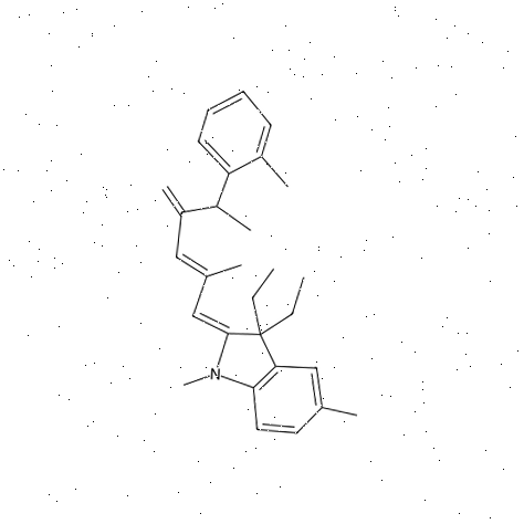 C=C(/C=C(C)/C=C1/N(C)c2ccc(C)cc2C1(CC)CC)C(C)c1ccccc1C